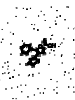 OC=S.c1ccc(-c2occc2-c2nccs2)cc1